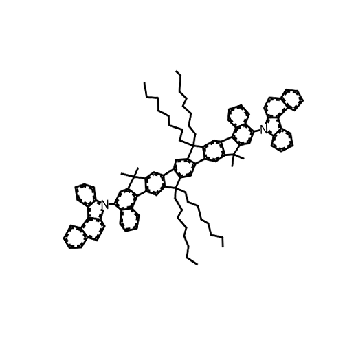 CCCCCCCCC1(CCCCCCCC)c2cc3c(cc2-c2cc4c(cc21)-c1cc2c(cc1C4(CCCCCCCC)CCCCCCCC)-c1c(cc(-n4c5ccccc5c5c6ccccc6ccc54)c4ccccc14)C2(C)C)C(C)(C)c1cc(-n2c4ccccc4c4c5ccccc5ccc42)c2ccccc2c1-3